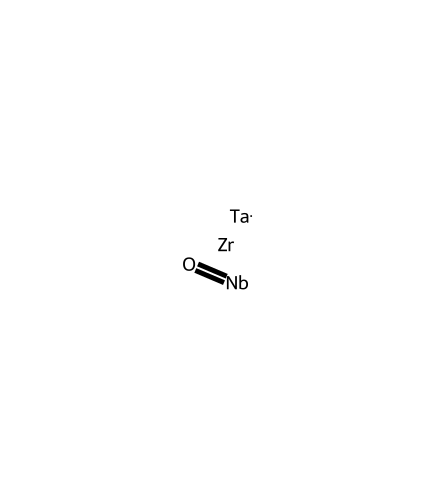 [O]=[Nb].[Ta].[Zr]